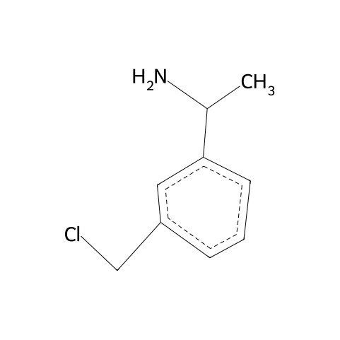 CC(N)c1cccc(CCl)c1